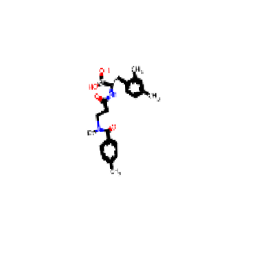 CCN(CCC(=O)N[C@@H](Cc1ccc(C)cc1C)B(O)O)C(=O)c1ccc(C)cc1